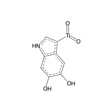 [O]=[Ti](=[O])[c]1c[nH]c2cc(O)c(O)cc12